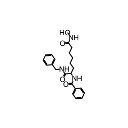 O=C(CCCCCC(NC(=O)c1ccccc1)C(=O)NCc1ccccc1)NO